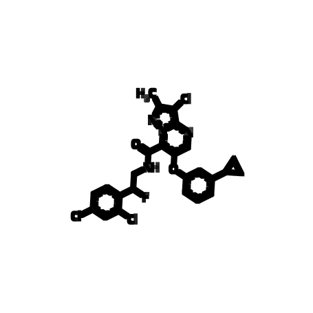 Cc1nn2c(C(=O)NCC(F)c3ccc(Cl)cc3Cl)c(Oc3cccc(C4CC4)c3)cnc2c1Cl